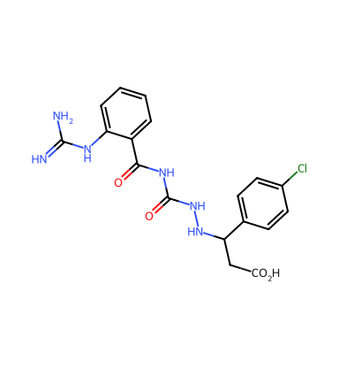 N=C(N)Nc1ccccc1C(=O)NC(=O)NNC(CC(=O)O)c1ccc(Cl)cc1